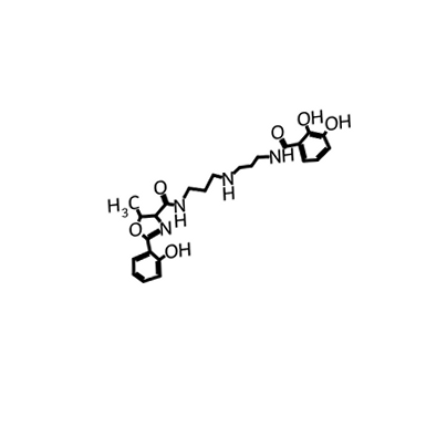 CC1OC(c2ccccc2O)=NC1C(=O)NCCCNCCCNC(=O)c1cccc(O)c1O